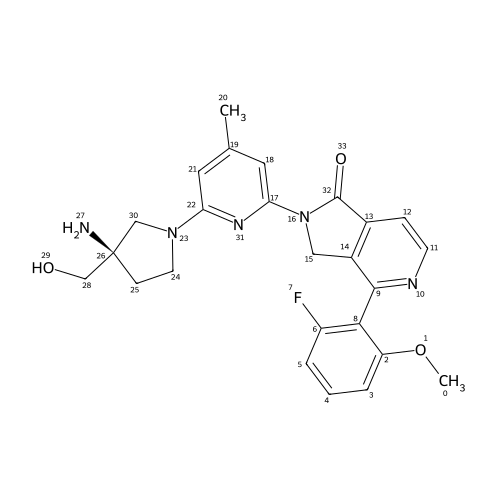 COc1cccc(F)c1-c1nccc2c1CN(c1cc(C)cc(N3CC[C@](N)(CO)C3)n1)C2=O